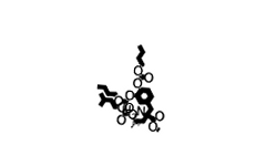 CCCCOC(=O)Oc1ccc(CC(N)(C[C@H](C)OC(=O)OCCC(C)C)C(=O)OC)cc1OC(=O)OCCCC